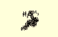 C[Si](C)(C)CCOCn1c(-c2ccnc(NC(=O)Cc3ccc(F)cc3)c2)c(-c2ccccn2)c2nnccc21